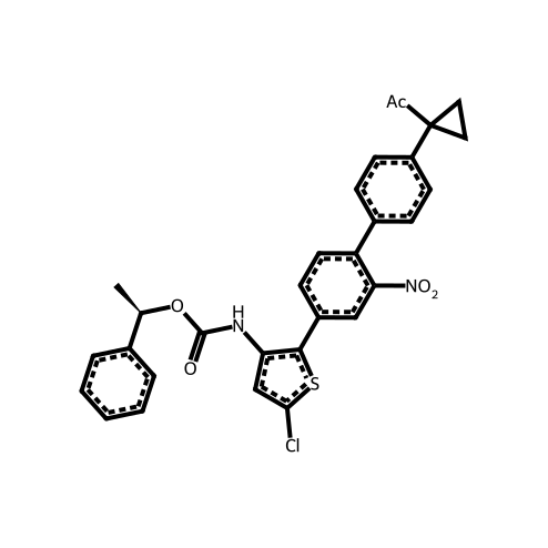 CC(=O)C1(c2ccc(-c3ccc(-c4sc(Cl)cc4NC(=O)O[C@H](C)c4ccccc4)cc3[N+](=O)[O-])cc2)CC1